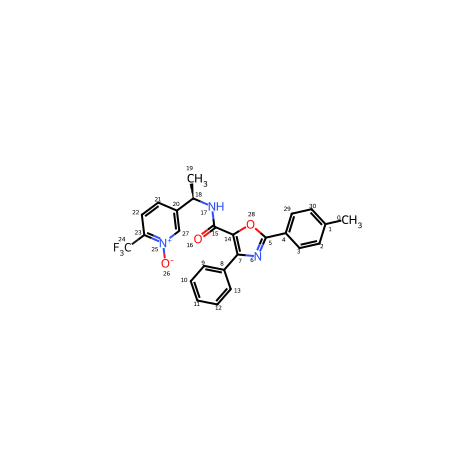 Cc1ccc(-c2nc(-c3ccccc3)c(C(=O)N[C@H](C)c3ccc(C(F)(F)F)[n+]([O-])c3)o2)cc1